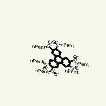 CCCCC[S+]([O-])c1cc2c3cc([S+]([O-])CCCCC)c([S+]([O-])CCCCC)cc3c3cc([S+]([O-])CCCCC)c([S+]([O-])CCCCC)cc3c2cc1[S+]([O-])CCCCC